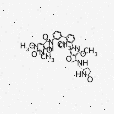 COc1nc(-c2cccc(-c3cccc(NC(=O)c4cn(C)c(=O)n(C)c4=O)c3C)c2Cl)cc2c1C(NC[C@@H]1CCC(=O)N1)CO2